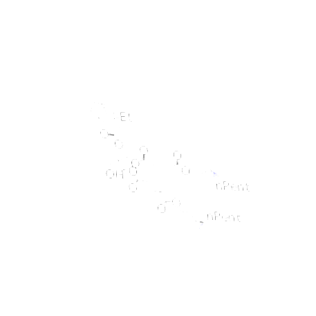 CCCCC/C=C\CCOC(=O)CCCC(=O)OCC(CO)(COC(=O)CCCC(=O)OCC/C=C\CCCCC)COC(=O)CC1(CC)CC2CCC(C2)C1